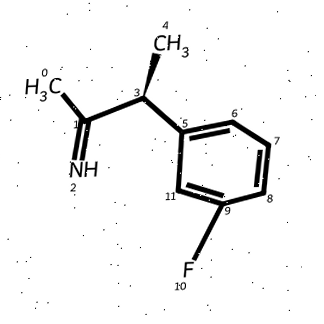 CC(=N)[C@@H](C)c1cccc(F)c1